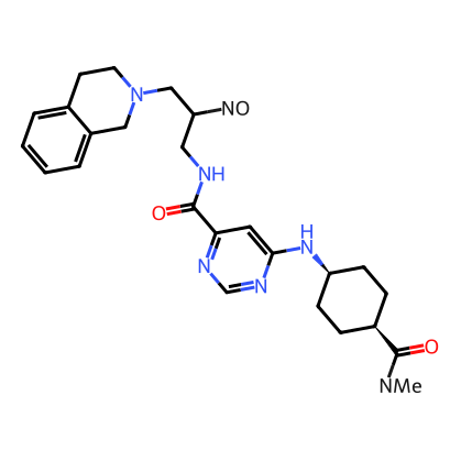 CNC(=O)[C@H]1CC[C@@H](Nc2cc(C(=O)NCC(CN3CCc4ccccc4C3)N=O)ncn2)CC1